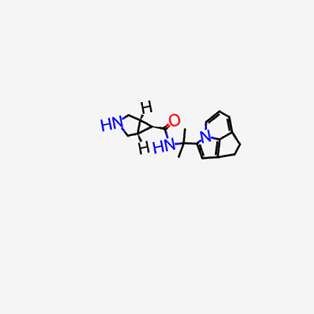 CC(C)(NC(=O)[C@H]1[C@@H]2CNC[C@@H]21)c1cc2c3c(cccn13)CC2